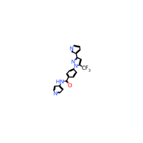 O=C(Nc1ccncc1)c1ccc(-n2nc(-c3cccnc3)cc2C(F)(F)F)cc1